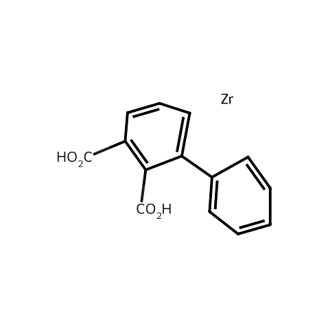 O=C(O)c1cccc(-c2ccccc2)c1C(=O)O.[Zr]